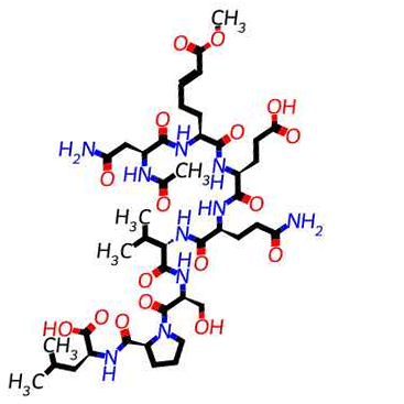 COC(=O)/C=C/CC[C@H](NC(=O)[C@H](CC(N)=O)NC(C)=O)C(=O)N[C@@H](CCC(=O)O)C(=O)N[C@@H](CCC(N)=O)C(=O)N[C@H](C(=O)N[C@@H](CO)C(=O)N1CCC[C@H]1C(=O)N[C@@H](CC(C)C)C(=O)O)C(C)C